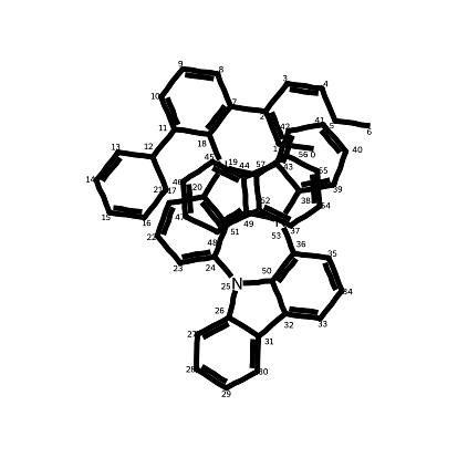 C/C=C(\C=C/CC)c1cccc(C2C=CC=CC2)c1N1c2cccc(-n3c4ccccc4c4cccc(-n5c6ccccc6c6ccccc65)c43)c2C2=CC=CCC21